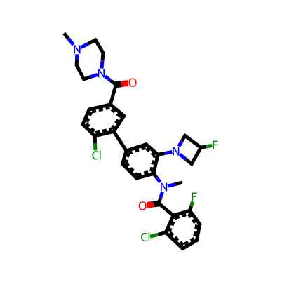 CN1CCN(C(=O)c2ccc(Cl)c(-c3ccc(N(C)C(=O)c4c(F)cccc4Cl)c(N4CC(F)C4)c3)c2)CC1